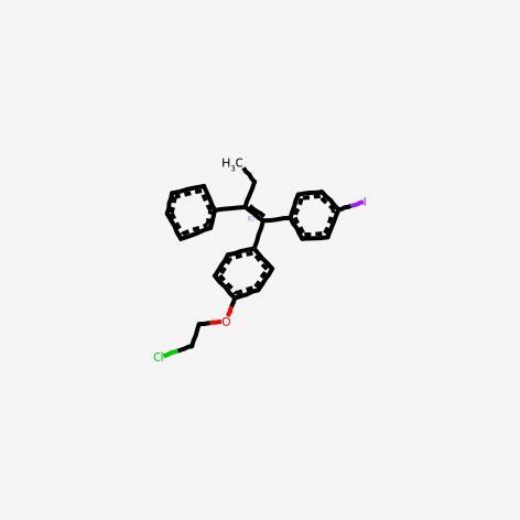 CC/C(=C(\c1ccc(I)cc1)c1ccc(OCCCl)cc1)c1ccccc1